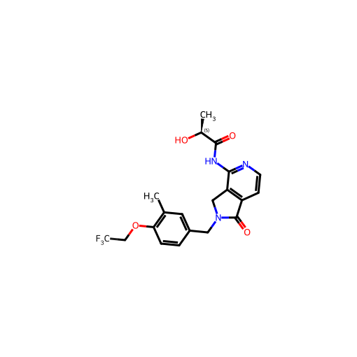 Cc1cc(CN2Cc3c(ccnc3NC(=O)[C@H](C)O)C2=O)ccc1OCC(F)(F)F